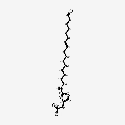 O=CCCCCC/C=C/CCCCCCCCNc1nc(CC(=O)O)cs1